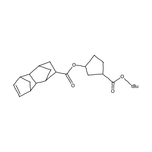 CC(C)(C)OC(=O)C1CCC(OC(=O)C2CC3CC2C2C4C=CC(C4)C32)C1